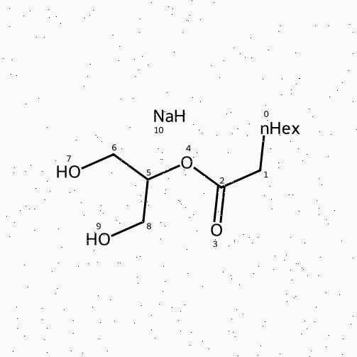 CCCCCCCC(=O)OC(CO)CO.[NaH]